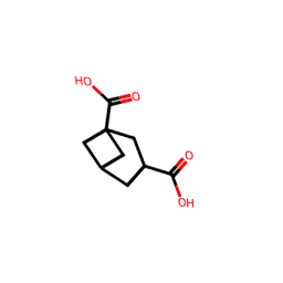 O=C(O)C1CC2CC(C(=O)O)(C2)C1